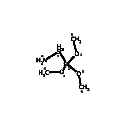 CO[Si](OC)(OC)[SiH2]N